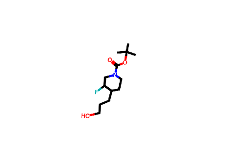 CC(C)(C)OC(=O)N1CCC(CCCO)C(F)C1